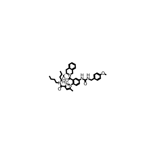 CCCCN(CCCC)C(=O)c1cc(C)n(-c2ccc(NC(=O)NCc3ccc(OC)cc3)cc2C(=O)N2Cc3ccccc3C[C@H]2CO)n1